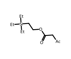 CC[Si](CC)(CC)CCOC(=O)CC(C)=O